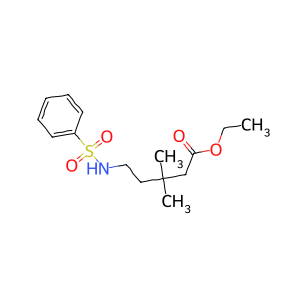 CCOC(=O)CC(C)(C)CCNS(=O)(=O)c1ccccc1